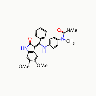 CNC(=O)N(C)c1ccc(NC(=C2C(=O)Nc3cc(OC)c(OC)cc32)c2ccccc2)cc1